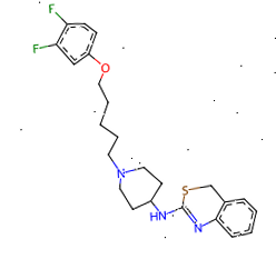 Fc1ccc(OCCCCCN2CCC(NC3=Nc4ccccc4CS3)CC2)cc1F